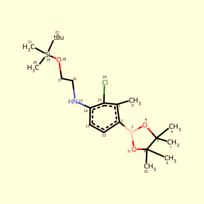 Cc1c(B2OC(C)(C)C(C)(C)O2)ccc(NCCO[Si](C)(C)C(C)(C)C)c1Cl